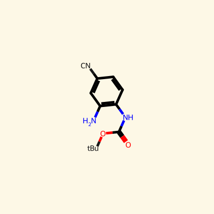 [C-]#[N+]c1ccc(NC(=O)OC(C)(C)C)c(N)c1